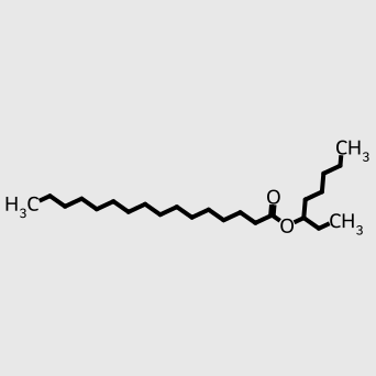 CCCCCCCCCCCCCCCC(=O)OC(CC)CCCCC